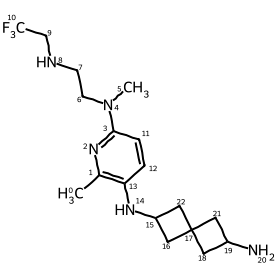 Cc1nc(N(C)CCNCC(F)(F)F)ccc1NC1CC2(CC(N)C2)C1